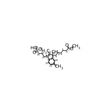 COC(=O)CCCCCC1(C)C(C)=[N+](CCCS(=O)(=O)O)c2ccc(C)cc21